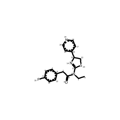 CCN(C(=O)Cc1ccc(F)cc1)C1=NC(c2ccncc2)CS1